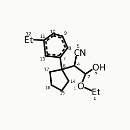 CCOC(O)C(C#N)C1(c2cccc(CC)c2)CCCC1